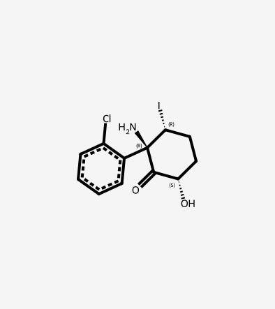 N[C@]1(c2ccccc2Cl)C(=O)[C@@H](O)CC[C@H]1I